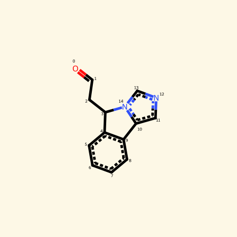 O=CCC1c2ccccc2-c2cncn21